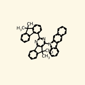 CC1(C)c2ccccc2-c2c(-c3nc4c(c(-n5c6ccccc6c6cc7ccccc7cc65)n3)C(C)(C)c3ccccc3-4)cccc21